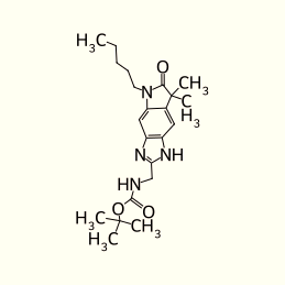 CCCCCN1C(=O)C(C)(C)c2cc3[nH]c(CNC(=O)OC(C)(C)C)nc3cc21